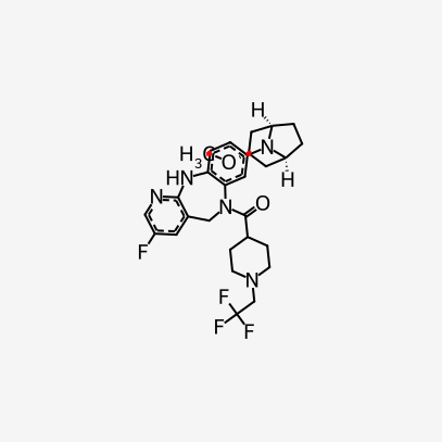 CO[C@@H]1C[C@H]2CC[C@@H](C1)N2c1ccc2c(c1)N(C(=O)C1CCN(CC(F)(F)F)CC1)Cc1cc(F)cnc1N2